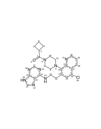 O=C(C1CCC1)N1CCN(c2c(CCNc3ncnc4[nH]cnc34)cc(Cl)c3cccnc23)CC1